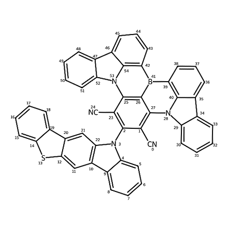 N#Cc1c(-n2c3ccccc3c3cc4sc5ccccc5c4cc32)c(C#N)c2c3c1-n1c4ccccc4c4cccc(c41)B3c1cccc3c4ccccc4n-2c13